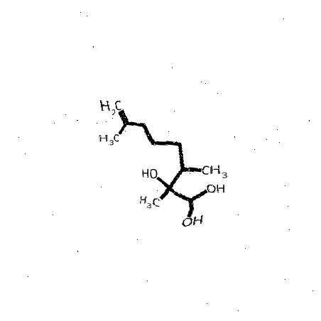 C=C(C)CCCC(C)C(C)(O)C(O)O